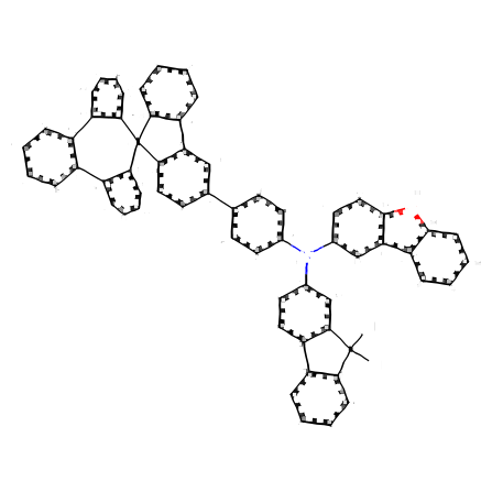 CC1(C)c2ccccc2-c2ccc(N(c3ccc(-c4ccc5c(c4)-c4ccccc4C54c5ccccc5-c5ccccc5-c5ccccc54)cc3)c3ccc4oc5ccccc5c4c3)cc21